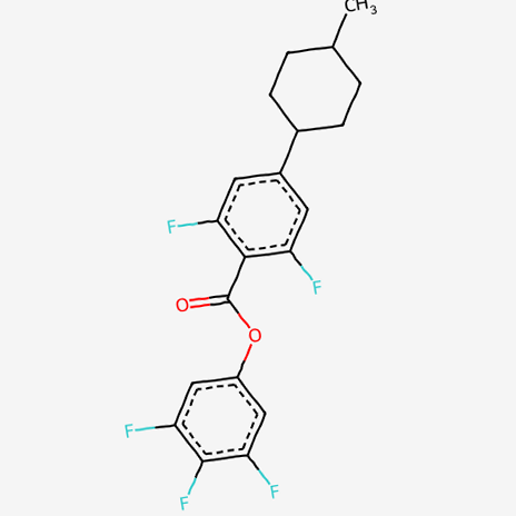 CC1CCC(c2cc(F)c(C(=O)Oc3cc(F)c(F)c(F)c3)c(F)c2)CC1